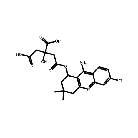 CC1(C)Cc2nc3cc(Cl)ccc3c(N)c2C(OC(=O)CC(O)(CC(=O)O)C(=O)O)C1